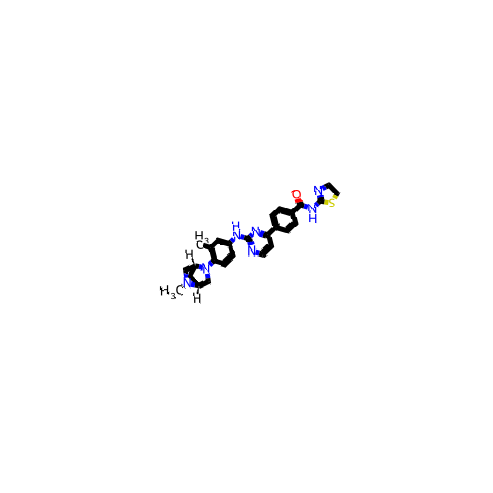 Cc1cc(Nc2nccc(-c3ccc(C(=O)NC4=NCCS4)cc3)n2)ccc1N1C[C@@H]2C[C@H]1CN2C